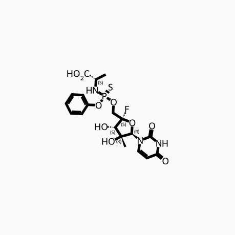 C[C@H](NP(=S)(OC[C@@]1(F)O[C@@H](n2ccc(=O)[nH]c2=O)[C@](C)(O)[C@@H]1O)Oc1ccccc1)C(=O)O